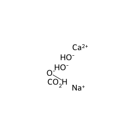 O=C([O-])O.[Ca+2].[Na+].[OH-].[OH-]